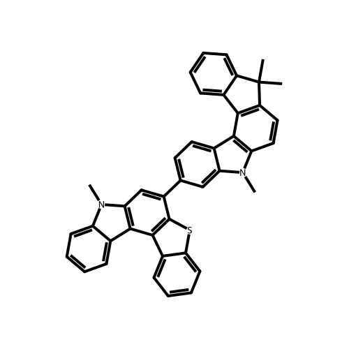 Cn1c2cc(-c3cc4c(c5ccccc5n4C)c4c3sc3ccccc34)ccc2c2c3c(ccc21)C(C)(C)c1ccccc1-3